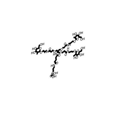 [3H]OP(=O)(O)OCCCNC(=O)CCCC(=O)NC(COCCC(=O)NCCCO[C@@H]1OC(CO)[C@H](O)[C@H](O)C1C)(COCCC(=O)NCCCO[C@@H]1OC(CO)[C@H](O)[C@H](O)C1C)COCCC(=O)NCCCO[C@@H]1OC(CO)[C@H](O)[C@H](O)C1C